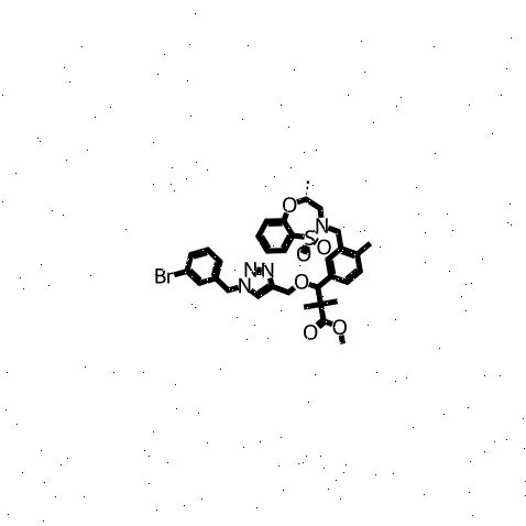 COC(=O)C(C)(C)C(OCc1cn(Cc2cccc(Br)c2)nn1)c1ccc(C)c(CN2C[C@@H](C)Oc3ccccc3S2(=O)=O)c1